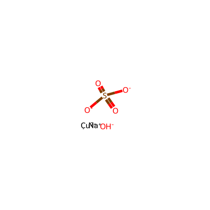 O=S(=O)([O-])[O-].[Cu+2].[Na+].[OH-]